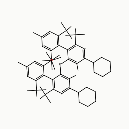 Cc1cc(C(C)(C)C)c(-c2c(C(C)(C)C)[c]c(C3CCCCC3)c(C)c2Sc2c(C)c(C3CCCCC3)[c]c(C(C)(C)C)c2-c2c(C(C)(C)C)cc(C)cc2C(C)(C)C)c(C(C)(C)C)c1